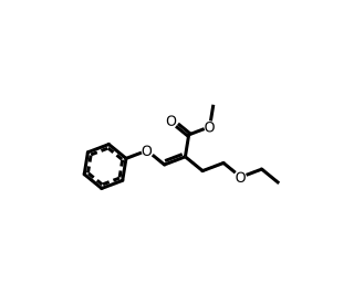 CCOCCC(=COc1ccccc1)C(=O)OC